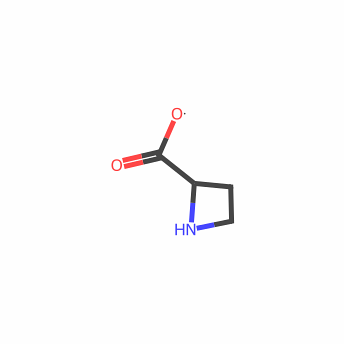 [O]C(=O)C1CCN1